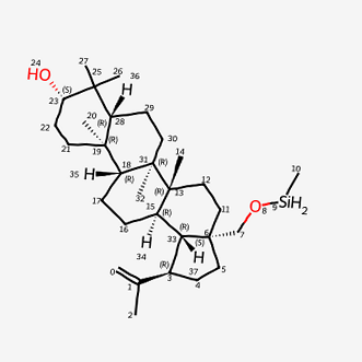 C=C(C)[C@@H]1CC[C@]2(CO[SiH2]C)CC[C@]3(C)[C@H](CC[C@@H]4[C@@]5(C)CC[C@H](O)C(C)(C)[C@@H]5CC[C@]43C)[C@@H]12